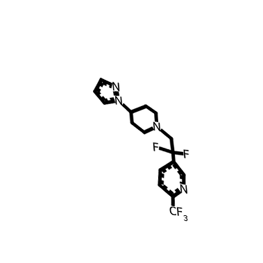 FC(F)(F)c1ccc(C(F)(F)CN2CCC(n3cccn3)CC2)cn1